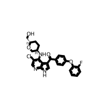 O=C(c1ccc(Oc2ccccc2F)cc1)c1c[nH]c2ncc(Cl)c(N[C@@H]3CC[C@@H](CO)OC3)c12